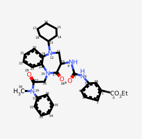 CCOC(=O)c1cccc(NC(=O)NC2CN(C3CCCCC3)c3ccccc3N(CC(=O)N(C)c3ccccc3)C2=O)c1